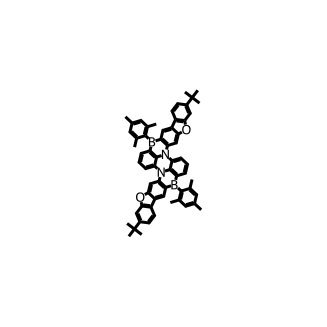 Cc1cc(C)c(B2c3cc4c(cc3N3c5cccc6c5N(c5cc7oc8cc(C(C)(C)C)ccc8c7cc5B6c5c(C)cc(C)cc5C)c5cccc2c53)oc2cc(C(C)(C)C)ccc24)c(C)c1